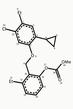 CCc1cc(C2CC2)c(OCc2c(CC)cccc2OC(=O)OC)cc1Cl